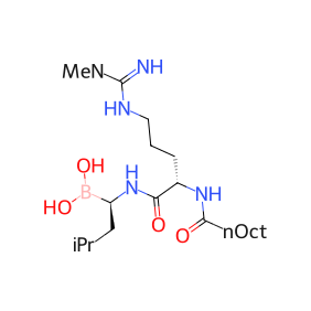 CCCCCCCCC(=O)N[C@@H](CCCNC(=N)NC)C(=O)N[C@@H](CC(C)C)B(O)O